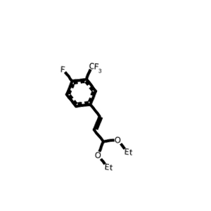 CCOC(C=Cc1ccc(F)c(C(F)(F)F)c1)OCC